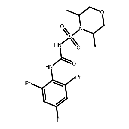 CC(C)c1cc(F)cc(C(C)C)c1NC(=O)NS(=O)(=O)N1C(C)COCC1C